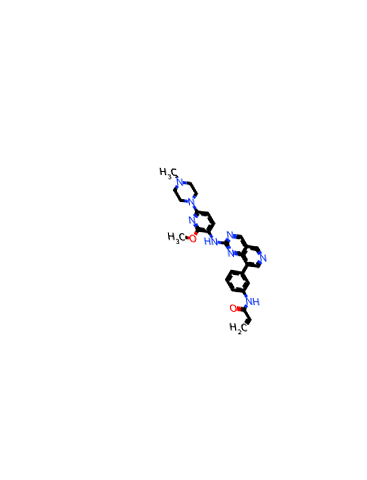 C=CC(=O)Nc1cccc(-c2cncc3cnc(Nc4ccc(N5CCN(C)CC5)nc4OC)nc23)c1